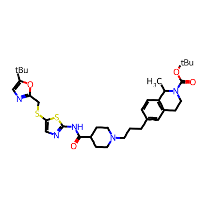 CC1c2ccc(CCCN3CCC(C(=O)Nc4ncc(SCc5ncc(C(C)(C)C)o5)s4)CC3)cc2CCN1C(=O)OC(C)(C)C